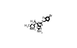 CC(C)C[C@H](CO)N(C)c1nc(SCc2ccc(Br)cc2F)nc2nc(N)sc12